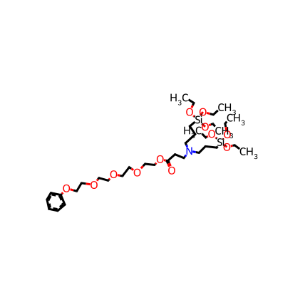 CCO[Si](CCCN(CCC[Si](OCC)(OCC)OCC)CCC(=O)OCCOCCOCCOCCOc1ccccc1)(OCC)OCC